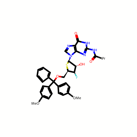 COc1ccc(C(OC[C@H]2S[C@@H](n3cnc4c(=O)[nH]c(NC(=O)C(C)C)nc43)[C@H](O)[C@H]2F)(c2ccccc2)c2ccc(OC)cc2)cc1